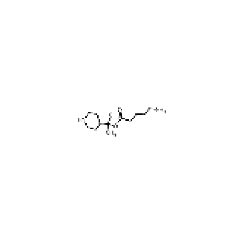 CC(C)(OC(=O)CCCCN)C1CCNCC1